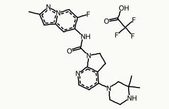 Cc1cc2cc(NC(=O)N3CCc4c(N5CCNC(C)(C)C5)ccnc43)c(F)cn2n1.O=C(O)C(F)(F)F